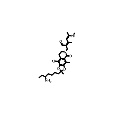 CCC(N)CCCCC1(C)Oc2c(C)c3c(c(Cl)c2O1)CCN(C/C(C=O)=C(C)/C=C(/C)NC)C3=O